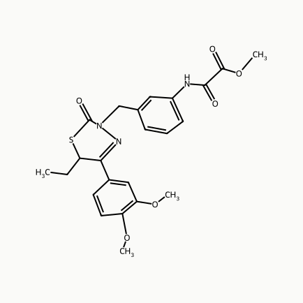 CCC1SC(=O)N(Cc2cccc(NC(=O)C(=O)OC)c2)N=C1c1ccc(OC)c(OC)c1